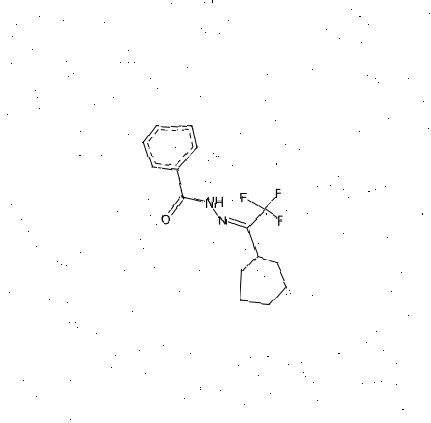 O=C(NN=C(C1CCCCC1)C(F)(F)F)c1ccccc1